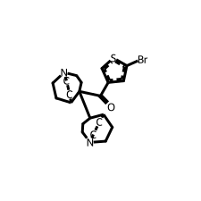 O=C(c1csc(Br)c1)C1(C2CCN3CCC2CC3)CCN2CCC1CC2